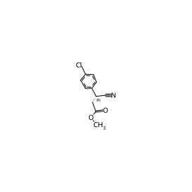 COC(=O)C[C@@H](C#N)c1ccc(Cl)cc1